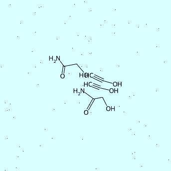 C#CO.C#CO.NC(=O)CO.NC(=O)CO